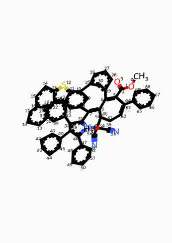 COC(=O)C1=C2C3=C(c4cc(c5sc6ccc7ccccc7c6c5c4)-c4cccc2c4)c2c(-c4ccccc4)c(-c4ccccc4)c(-c4ccccc4)n2C(C#N)(C#N)[C@]3(C)CC=C1c1ccccc1